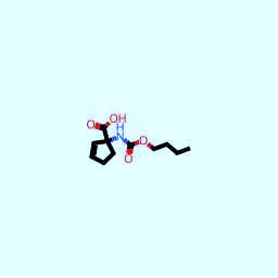 CCCCOC(=O)NC1(C(=O)O)C=CCC1